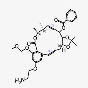 COCOc1cc(OCCN)cc2c1C(=O)O[C@@H](C)[C@H](C)/C=C\C(OC(=O)c1ccccc1)C1OC(C)(C)O[C@H]1C/C=C/2